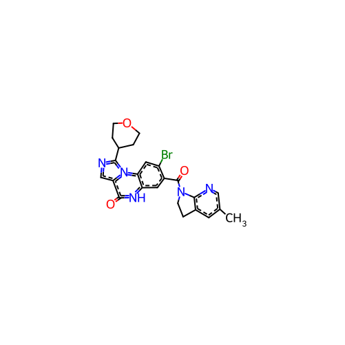 Cc1cnc2c(c1)CCN2C(=O)c1cc2[nH]c(=O)c3cnc(C4CCOCC4)n3c2cc1Br